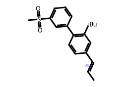 C/C=C/c1ccc(-c2cccc(S(C)(=O)=O)c2)c(C(C)CC)c1